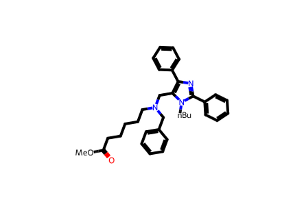 CCCCn1c(-c2ccccc2)nc(-c2ccccc2)c1CN(CCCCCC(=O)OC)Cc1ccccc1